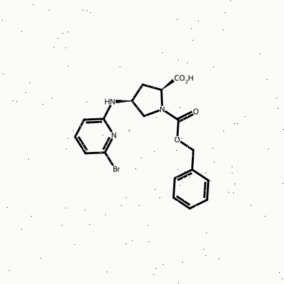 O=C(O)[C@@H]1C[C@H](Nc2cccc(Br)n2)CN1C(=O)OCc1ccccc1